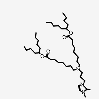 CCCCCC(CCCC)OC(=O)CCCCCCCN(CCCCCCCC(=O)OC(CCCC)CCCCC)CCCN1C=CN(C)C1C